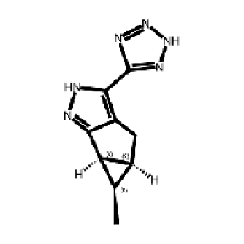 C[C@@H]1[C@@H]2Cc3c(n[nH]c3-c3nn[nH]n3)[C@H]12